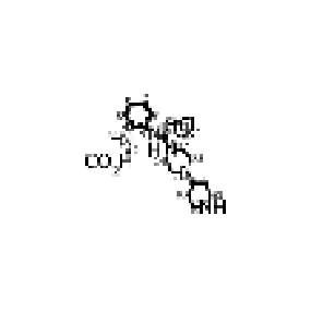 CN(CC(=O)O)c1ccccc1NC(=O)N1CCN(C2CCNCC2)CC1.Cl.Cl